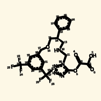 O=C(O)C(=O)Oc1nnnn1CNC[C@@H](COCc1cc(C(F)(F)F)cc(C(F)(F)F)c1)c1ccccc1